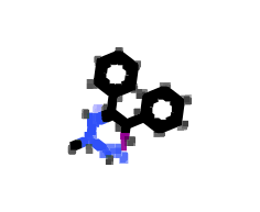 CN(N)/N=C(/c1ccccc1)C(I)c1ccccc1